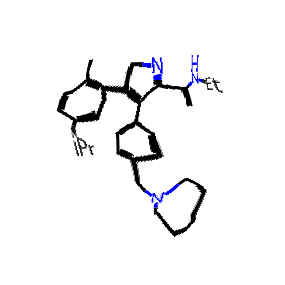 C=C(NCC)C1=NCC(c2cc(C(C)C)ccc2C)=C1c1ccc(CN2CCCCC2)cc1